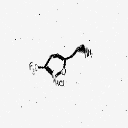 Cl.NCc1cc(C(F)(F)F)no1